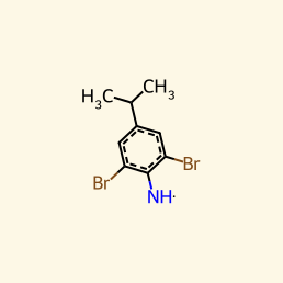 CC(C)c1cc(Br)c([NH])c(Br)c1